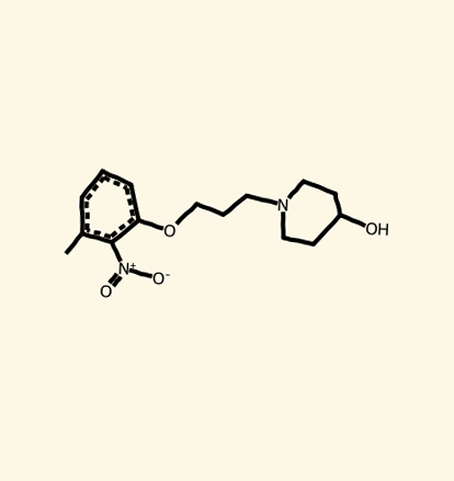 Cc1cccc(OCCCN2CCC(O)CC2)c1[N+](=O)[O-]